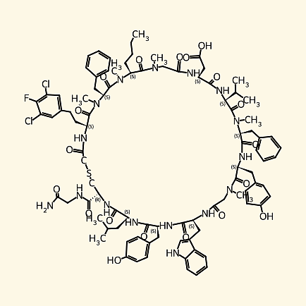 CCCC[C@H]1C(=O)N(C)CC(=O)N[C@@H](CC(=O)O)C(=O)N[C@@H](C(C)C)C(=O)N(C)[C@@H](Cc2ccccc2)C(=O)N[C@@H](Cc2ccc(O)cc2)C(=O)N(C)CC(=O)N[C@@H](Cc2c[nH]c3ccccc23)C(=O)N[C@@H](Cc2ccc(O)cc2)C(=O)N[C@@H](CC(C)C)C(=O)N[C@H](C(=O)NCC(N)=O)CSCC(=O)N[C@@H](CCc2cc(Cl)c(F)c(Cl)c2)C(=O)N(C)[C@@H](Cc2ccccc2)C(=O)N1C